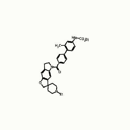 CCOC(=O)Nc1ccc(-c2ccc(C(=O)N3CCc4cc5c(cc43)C3(CCN(CC)CC3)CO5)cc2)c(C)c1